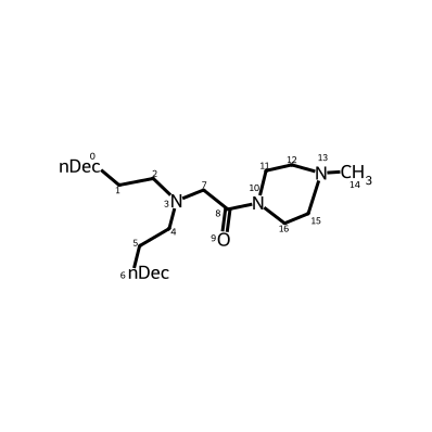 CCCCCCCCCCCCN(CCCCCCCCCCCC)CC(=O)N1CCN(C)CC1